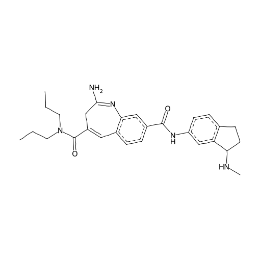 CCCN(CCC)C(=O)C1=Cc2ccc(C(=O)Nc3ccc4c(c3)C(NC)CC4)cc2N=C(N)C1